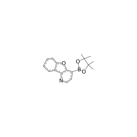 CC1(C)OB(c2ccnc3c2oc2ccccc23)OC1(C)C